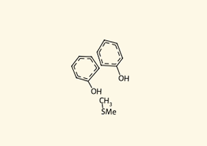 CSC.Oc1ccccc1.Oc1ccccc1